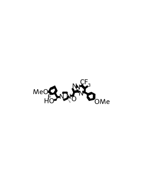 COc1ccc(-c2nc3c(C(=O)N4CCN([C@@H](CO)c5cccc(OC)c5F)C[C@H]4C)cnn3c(C(F)(F)F)c2C)cc1